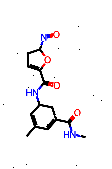 CNC(=O)C1=CC(C)=CC(NC(=O)C2=CCC(N=O)O2)C1